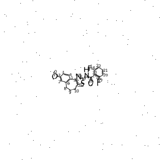 COc1ccc2c(c1)CCCc1sc(NC(=O)c3c(F)cccc3F)nc1-2